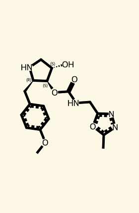 COc1ccc(C[C@H]2NC[C@H](O)[C@H]2OC(=O)NCc2nnc(C)o2)cc1